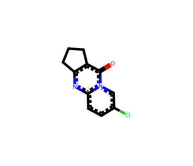 O=c1c2c(nc3ccc(Cl)cn13)CCC2